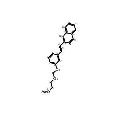 COCCOCOc1cccc(/C=C/c2ccc3ccccc3n2)c1